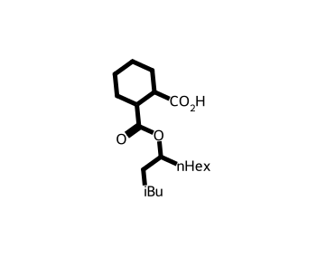 CCCCCCC(CC(C)CC)OC(=O)C1CCCCC1C(=O)O